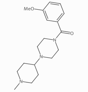 COc1cccc(C(=O)N2CCN(C3CCN(C)CC3)CC2)c1